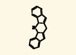 C1=C2CC3=Cc4ccccc4[CH]3[Zr][CH]2c2ccccc21